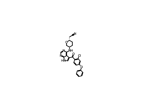 N#CC[C@@H]1CC[C@@H](Nc2ncnc3[nH]cc(C(=O)c4ccc(Oc5ccccc5)cc4Cl)c23)CO1